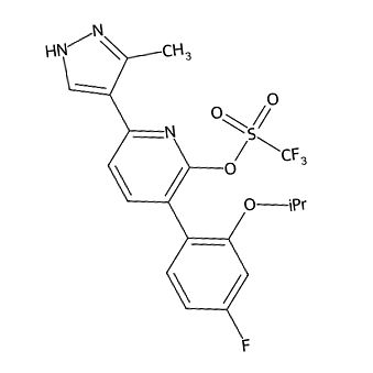 Cc1n[nH]cc1-c1ccc(-c2ccc(F)cc2OC(C)C)c(OS(=O)(=O)C(F)(F)F)n1